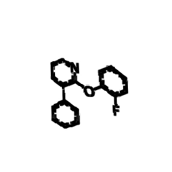 Fc1ccccc1Oc1ncccc1-c1ccccc1